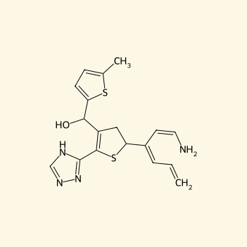 C=C/C=C(\C=C/N)C1CC(C(O)c2ccc(C)s2)=C(c2nnc[nH]2)S1